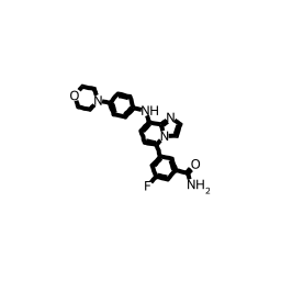 NC(=O)c1cc(F)cc(-c2ccc(Nc3ccc(N4CCOCC4)cc3)c3nccn23)c1